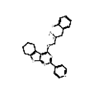 N[C@H](COc1nc(-c2ccncc2)nc2sc3c(c12)CCCC3)Cc1ccccc1F